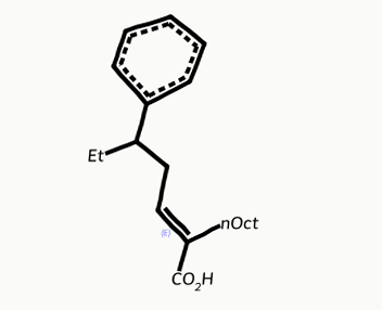 CCCCCCCC/C(=C\CC(CC)c1ccccc1)C(=O)O